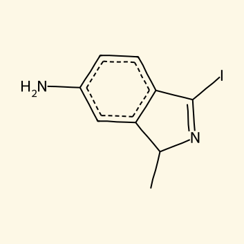 CC1N=C(I)c2ccc(N)cc21